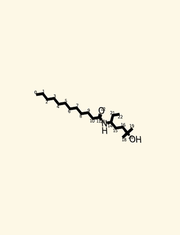 CCCCCCCCCCCC(=O)NC([CH]CC(C)(C)O)CC